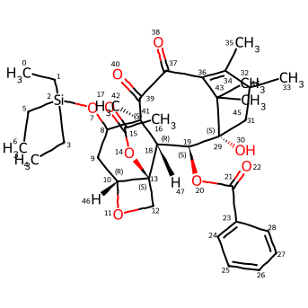 CC[Si](CC)(CC)OC1C[C@H]2OC[C@@]2(OC(C)=O)[C@H]2[C@H](OC(=O)c3ccccc3)[C@]3(O)CC(C)C(C)=C(C(=O)C(=O)[C@]12C)C3(C)C